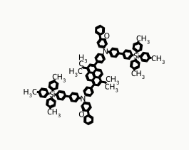 Cc1ccc([Si](c2ccc(C)cc2)(c2ccc(C)cc2)c2ccc(-c3ccc(N(c4ccc(-c5cc(C(C)C)c6ccc7c(-c8ccc(N(c9ccc(-c%10ccc([Si](c%11ccc(C)cc%11)(c%11ccc(C)cc%11)c%11ccc(C)cc%11)cc%10)cc9)c9ccc%10c(c9)oc9ccccc9%10)cc8)cc(C(C)C)c8ccc5c6c78)cc4)c4ccc5c(c4)oc4ccccc45)cc3)cc2)cc1